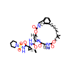 C=C[C@@H]1C[C@]1(NC(=O)[C@@H]1C[C@@H]2CN1C(=O)[C@H](C(C)(C)C)NC(=O)OCC(C)(C)CCCCc1cccc3c1CN(C3)C(=O)O2)C(=O)NS(=O)(=O)N1CCCCC1